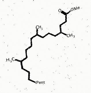 CCCC(C)CCCC(C)CCCCC(C)CCCC(C)CCC(=O)OC